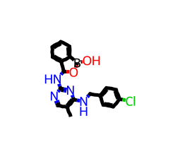 Cc1cnc(NC2OB(O)c3ccccc32)nc1NCc1ccc(Cl)cc1